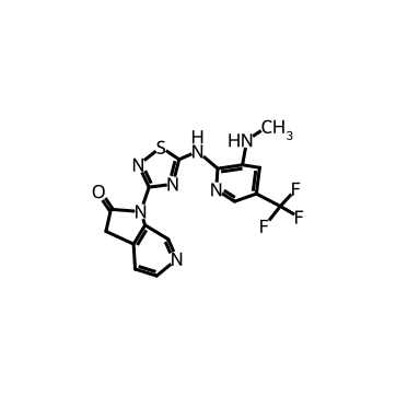 CNc1cc(C(F)(F)F)cnc1Nc1nc(N2C(=O)Cc3ccncc32)ns1